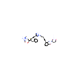 Cc1nnc2n1-c1sc(C#Cc3cnn(CCCC#Cc4cccc5c4CN(C4CCC(=O)NC4=O)C5=O)c3)c(Cc3ccccc3)c1CO[C@H]2C